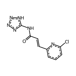 O=C(C=Cc1cccc(Cl)n1)Nc1nnn[nH]1